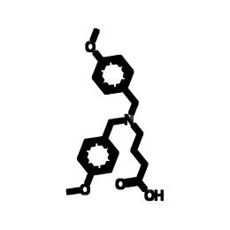 COc1ccc(CN(CCCC(=O)O)Cc2ccc(OC)cc2)cc1